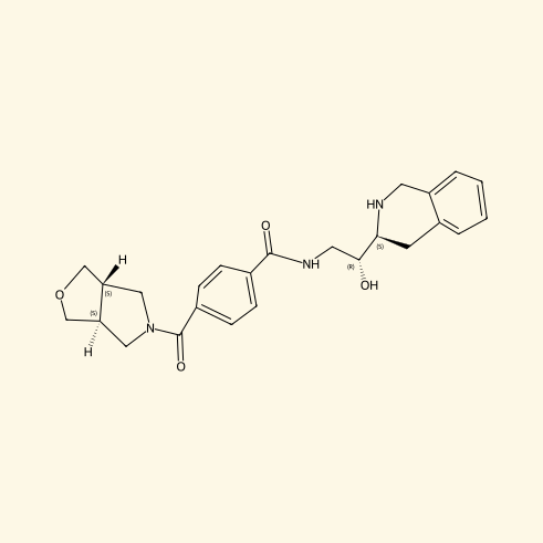 O=C(NC[C@@H](O)[C@@H]1Cc2ccccc2CN1)c1ccc(C(=O)N2C[C@H]3COC[C@@H]3C2)cc1